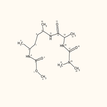 COC(=O)NC(C)CCC(C)NC(=O)C(C)NC(=O)N(C)C